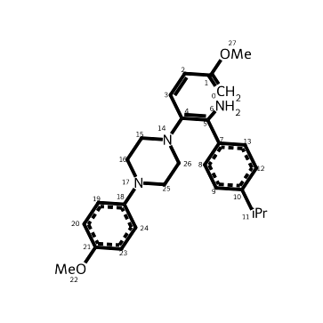 C=C(/C=C\C(=C(/N)c1ccc(C(C)C)cc1)N1CCN(c2ccc(OC)cc2)CC1)OC